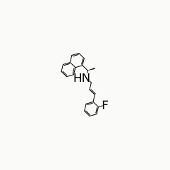 C[C@@H](NC/C=C/c1ccccc1F)c1cccc2ccccc12